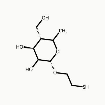 CC1O[C@H](OCCS)C(O)[C@@H](O)[C@@H]1CO